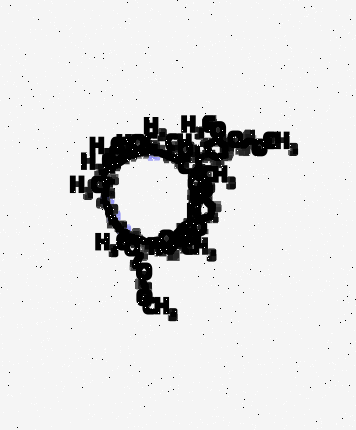 COCCOCCO[C@@H]1C[C@@H]2CC[C@@H](C)[C@@](O)(O2)C(=O)C(=O)N2CCCC[C@H]2C(=O)O[C@H]([C@H](C)C[C@@H]2CC[C@@H](OCCOC)[C@H](OC)C2)CC(=O)[C@H](C)/C=C(\C)[C@@H](O)[C@@H](OC)C(=O)[C@H](C)C[C@H](C)/C=C/C=C/C=C/1C